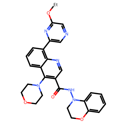 CCOc1cncc(-c2cccc3c(N4CCOCC4)c(C(=O)NN4CCOc5ccccc54)cnc23)n1